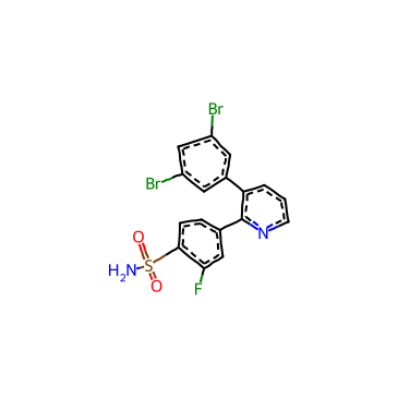 NS(=O)(=O)c1ccc(-c2ncccc2-c2cc(Br)cc(Br)c2)cc1F